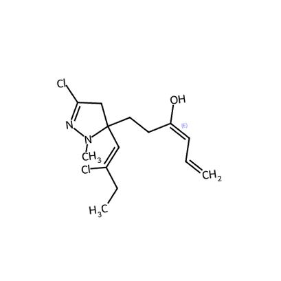 C=C/C=C(/O)CCC1(C=C(Cl)CC)CC(Cl)=NN1C